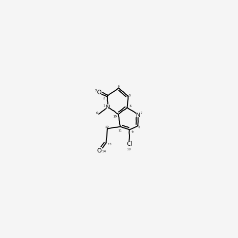 Cn1c(=O)ccc2ncc(Cl)c(CC=O)c21